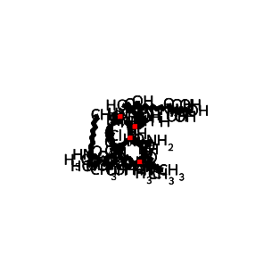 CCCCCCCCCC(=O)NC1(C)C[C@H](O[C@@H]2C(O)C(O)[C@@H](CO)O[C@H]2Oc2c3cc4cc2Oc2ccc(cc2Cl)[C@@H](O)[C@@H](NC(=O)[C@@H](CC(C)C)NC)C(=O)NC(CC(N)=O)C(=O)N[C@H]4C(=O)N[C@H]2C(=O)N[C@H](C(=O)N[C@H](C(=O)O)c4cc(O)c(CNCCCNC(=O)[C@H](O)[C@@H](O)[C@H](O)[C@H](O)CO)c(O)c4-c4cc2ccc4O)[C@H](O)c2ccc(c(Cl)c2)O3)C[C@@H](C)[C@H]1O